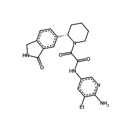 CCc1cc(NC(=O)C(=O)N2CCCC[C@H]2c2ccc3c(c2)C(=O)NC3)cnc1N